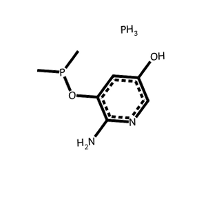 CP(C)Oc1cc(O)cnc1N.P